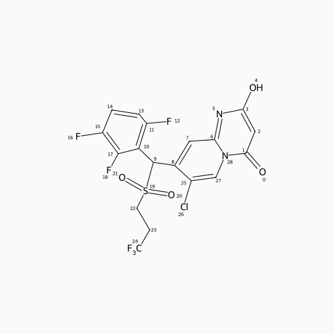 O=c1cc(O)nc2cc(C(c3c(F)ccc(F)c3F)S(=O)(=O)CCC(F)(F)F)c(Cl)cn12